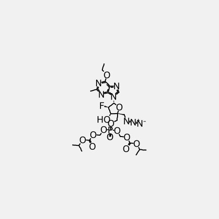 CCOc1nc(C)nc2c1ncn2[C@@H]1O[C@](CN=[N+]=[N-])(COP(=O)(OCOC(=O)OC(C)C)OCOC(=O)OC(C)C)[C@@H](O)[C@H]1F